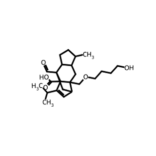 CC(C)C1=CC2CC3(C=O)C4CCC(C)C4CC2(COCCCCO)C13C(=O)O